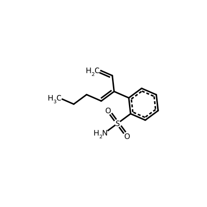 C=CC(=CCCC)c1ccccc1S(N)(=O)=O